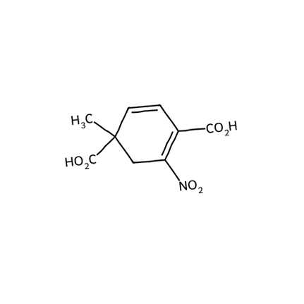 CC1(C(=O)O)C=CC(C(=O)O)=C([N+](=O)[O-])C1